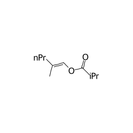 CCCC(C)=COC(=O)C(C)C